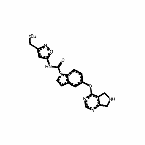 CC(C)(C)Cc1cc(NC(=O)n2ccc3cc(Oc4ncnc5c4CNC5)ccc32)on1